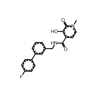 Cn1ccc(C(=O)NCc2cccc(-c3ccc(F)cc3)c2)c(O)c1=O